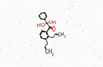 C=CCc1cccc(C(=O)C(O)(O)c2ccccc2)c1CC=C